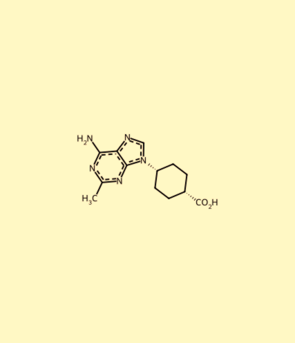 Cc1nc(N)c2ncn([C@H]3CC[C@@H](C(=O)O)CC3)c2n1